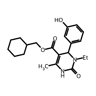 CCN1C(=O)NC(C)=C(C(=O)OCC2CCCCC2)C1c1cccc(O)c1